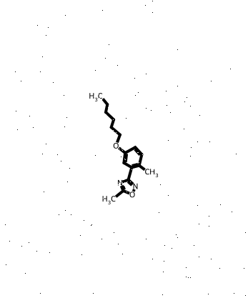 CCCCCCOc1ccc(C)c(-c2noc(C)n2)c1